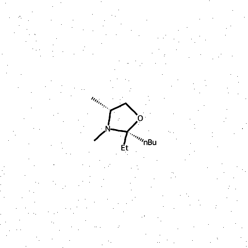 CCCC[C@@]1(CC)OC[C@@H](C)N1C